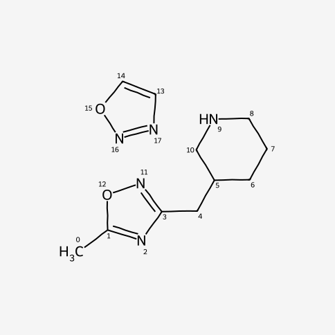 Cc1nc(CC2CCCNC2)no1.c1conn1